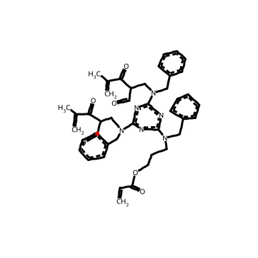 C=CC(=O)OCCCN(Cc1ccccc1)c1nc(N(Cc2ccccc2)CC(C=O)C(=O)C(=C)C)nc(N(Cc2ccccc2)CC(C=O)C(=O)C(=C)C)n1